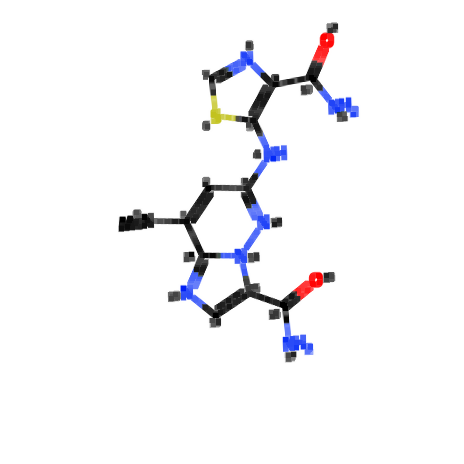 CNc1cc(Nc2scnc2C(N)=O)nn2c(C(N)=O)cnc12